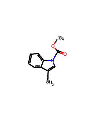 Bc1cn(C(=O)OC(C)(C)C)c2ccccc12